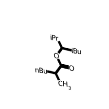 CCCCC(C)C(=O)OC(C(C)C)C(C)CC